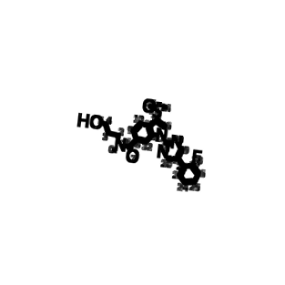 CN(CCCO)C(=O)c1ccc2c([S+](C)[O-])cn(-c3ncc(-c4ccccc4F)cn3)c2c1